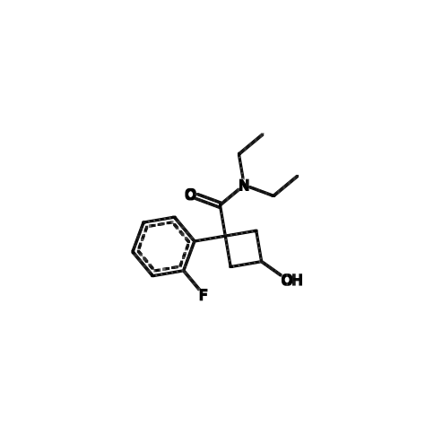 CCN(CC)C(=O)C1(c2ccccc2F)CC(O)C1